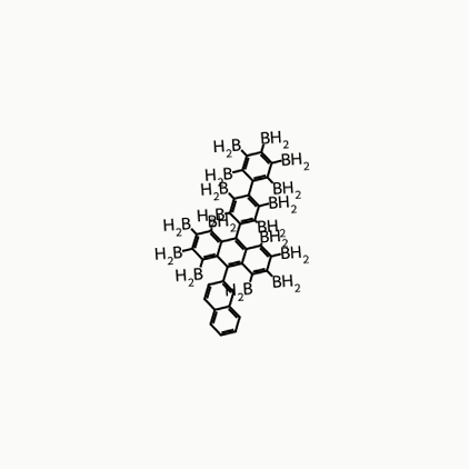 Bc1c(B)c(B)c(-c2c(B)c(B)c(-c3c4c(B)c(B)c(B)c(B)c4c(-c4ccc5ccccc5c4)c4c(B)c(B)c(B)c(B)c34)c(B)c2B)c(B)c1B